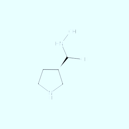 CNC(C)[C@@H]1CCNC1